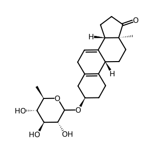 C[C@H]1OC(O[C@@H]2CCC3=C(CC=C4[C@@H]3CC[C@]3(C)C(=O)CC[C@@H]43)C2)[C@H](O)[C@@H](O)[C@@H]1O